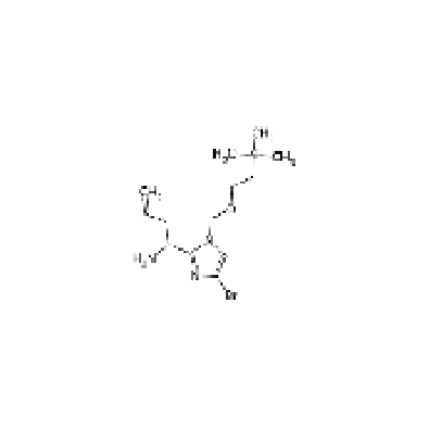 C=CCC(N)c1nc(Br)cn1COCC[Si](C)(C)C